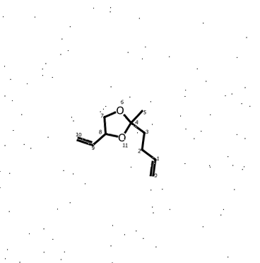 C=CCCC1(C)OCC(C=C)O1